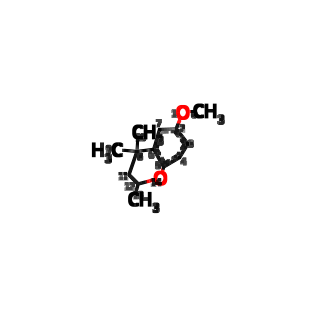 COc1ccc2c(c1)C(C)(C)CC(C)O2